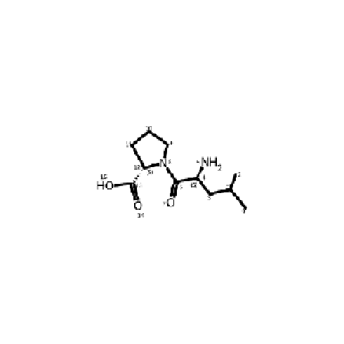 CC(C)C[C@H](N)C(=O)N1CCC[C@H]1C(=O)O